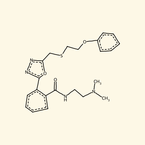 CN(C)CCNC(=O)c1ccccc1-c1nnc(CSCCOc2ccccc2)o1